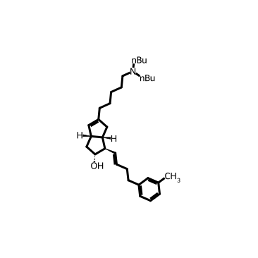 CCCCN(CCCC)CCCCCC1=C[C@H]2C[C@@H](O)[C@H](/C=C/CCc3cccc(C)c3)[C@H]2C1